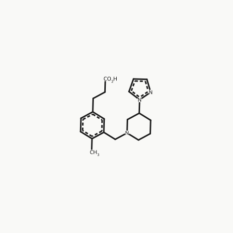 Cc1ccc(CCC(=O)O)cc1CN1CCCC(n2cccn2)C1